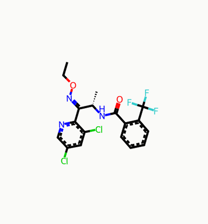 CCON=C(c1ncc(Cl)cc1Cl)[C@H](C)NC(=O)c1ccccc1C(F)(F)F